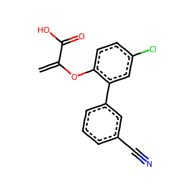 C=C(Oc1ccc(Cl)cc1-c1cccc(C#N)c1)C(=O)O